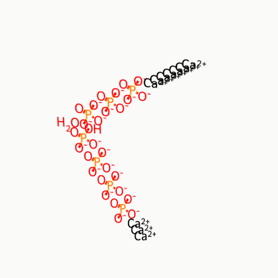 O.O=P([O-])([O-])O.O=P([O-])([O-])[O-].O=P([O-])([O-])[O-].O=P([O-])([O-])[O-].O=P([O-])([O-])[O-].O=P([O-])([O-])[O-].O=P([O-])([O-])[O-].[Ca+2].[Ca+2].[Ca+2].[Ca+2].[Ca+2].[Ca+2].[Ca+2].[Ca+2].[Ca+2].[Ca+2]